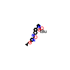 CN(C(=O)c1ccc(OCC2CC2)cn1)C1CCc2cc(-c3cccn3C(=O)OC(C)(C)C)ccc2C1